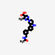 CC(=O)NCc1cccc(-c2ccc3[nH]c4c(c3c2)CN(c2ncc(C(=O)O)c(C)n2)CC4)c1